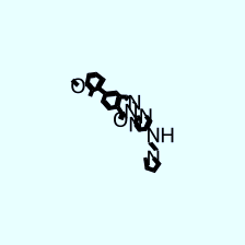 COc1cccc(-c2ccc3c(=O)n(-c4ncc(NCCN5CCCC5)cn4)ncc3c2)c1C